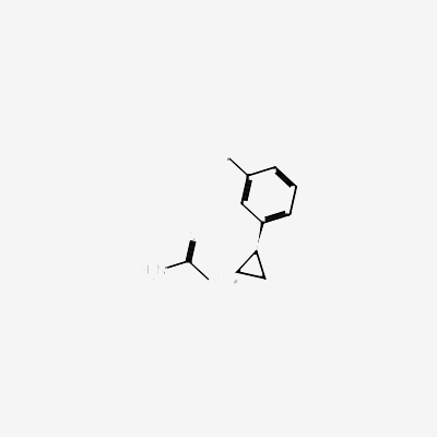 NC(=O)C[C@H]1C[C@@H]1c1cccc(Cl)c1